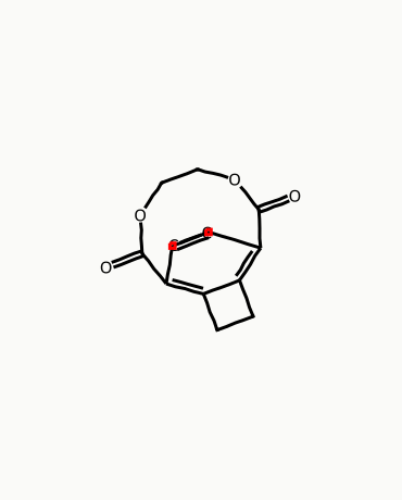 O=C1OCCOC(=O)c2c3c(c1c1c2CC1)CC3